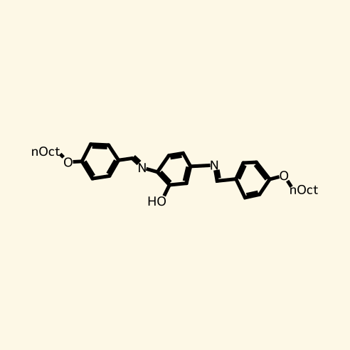 CCCCCCCCOc1ccc(/C=N/c2ccc(/N=C/c3ccc(OCCCCCCCC)cc3)c(O)c2)cc1